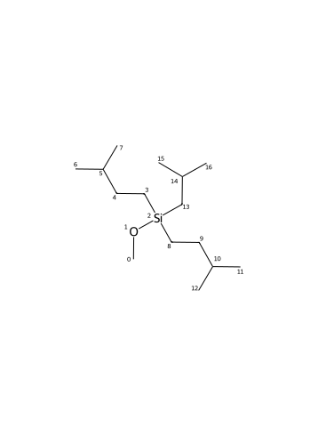 CO[Si](CCC(C)C)(CCC(C)C)CC(C)C